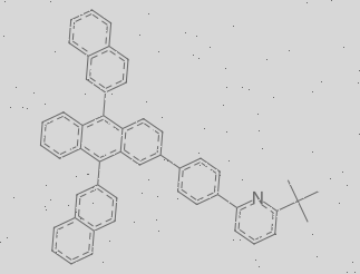 CC(C)(C)c1cccc(-c2ccc(-c3ccc4c(-c5ccc6ccccc6c5)c5ccccc5c(-c5ccc6ccccc6c5)c4c3)cc2)n1